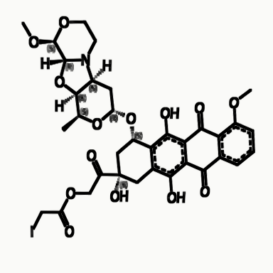 COc1cccc2c1C(=O)c1c(O)c3c(c(O)c1C2=O)C[C@@](O)(C(=O)COC(=O)CI)C[C@@H]3O[C@H]1C[C@H]2[C@H](O[C@@H]3[C@@H](OC)OCCN32)[C@H](C)O1